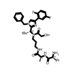 CC(C)[C@H](N)C(=O)N[C@@H](C)C(=O)NCCCN(C(=O)CO)[C@@H](c1nc(-c2cc(F)ccc2F)cn1Cc1ccccc1)C(C)(C)C